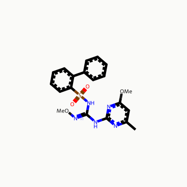 CO/N=C(/Nc1nc(C)cc(OC)n1)NS(=O)(=O)c1ccccc1-c1ccccc1